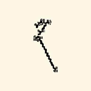 BC(=O)[C@H](CCCCNC(=O)CC[C@H](NC(=O)CCCCCCCCCCCCCCCCCCC(=O)O)C(=O)O)NSC(=O)[C@H](C)NC(C)=O